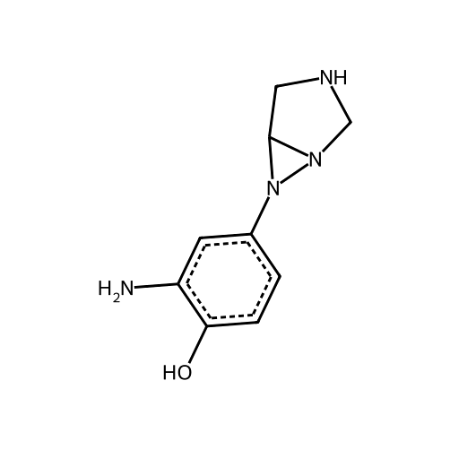 Nc1cc(N2C3CNCN32)ccc1O